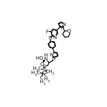 CC(C)(C)[Si](C)(C)OCC(Cn1ccc(-c2ccc(Oc3ncc(-c4ccnn4C4CCCCO4)cc3F)cc2)n1)NC(=O)O